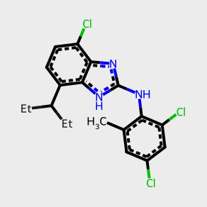 CCC(CC)c1ccc(Cl)c2nc(Nc3c(C)cc(Cl)cc3Cl)[nH]c12